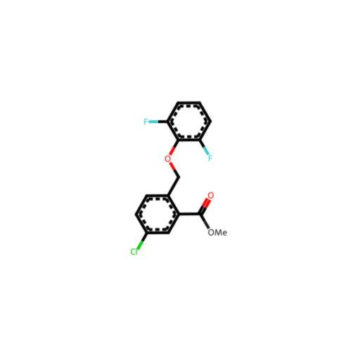 COC(=O)c1cc(Cl)ccc1COc1c(F)cccc1F